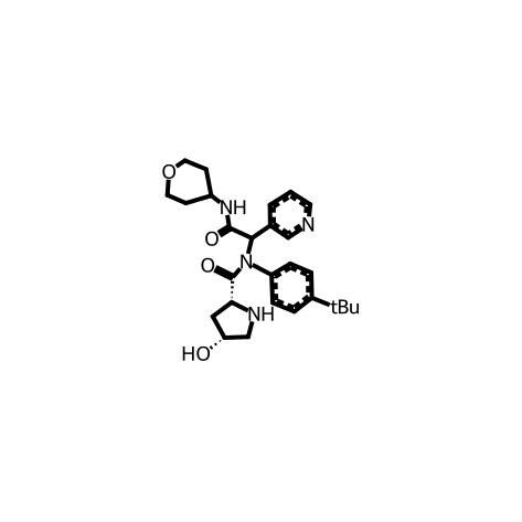 CC(C)(C)c1ccc(N(C(=O)[C@H]2C[C@@H](O)CN2)C(C(=O)NC2CCOCC2)c2cccnc2)cc1